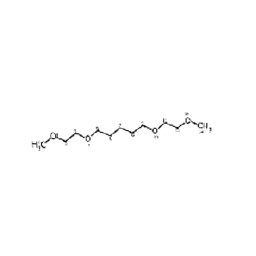 COCCOCCCCCOCCOC